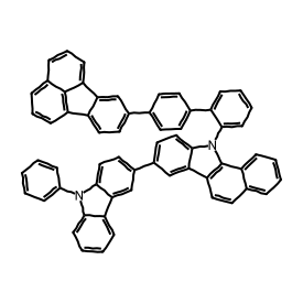 c1ccc(-n2c3ccccc3c3cc(-c4ccc5c(c4)c4ccc6ccccc6c4n5-c4ccccc4-c4ccc(-c5ccc6c(c5)-c5cccc7cccc-6c57)cc4)ccc32)cc1